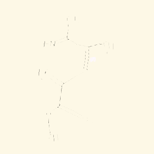 C=C(/C=C(/C)C(C)=N)C(=O)OC